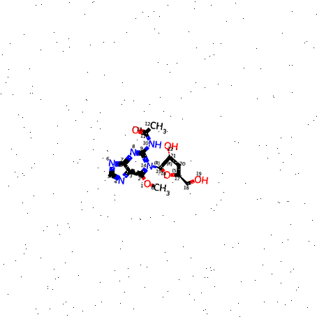 COc1c2ncnc-2nc(NC(C)=O)n1[C@@H]1O[C@H](CO)C[C@H]1O